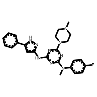 CN1CCN(c2nc(Nc3cc(-c4ccccc4)[nH]n3)nc(N(C)c3ccc(F)cc3)n2)CC1